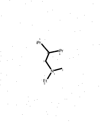 CCN(C)CC(C(C)C)C(C)C